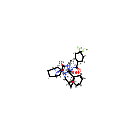 CCN1C(=O)C2(CC3CCC(C2)N3CC[C@H](NC(=O)C2CCC(F)(F)CC2)c2ccccc2)N(CC2CC2)C1O